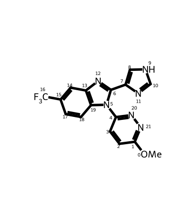 COc1ccc(-n2c(-c3c[nH]cn3)nc3cc(C(F)(F)F)ccc32)nn1